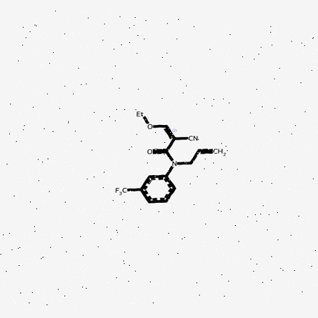 C=CCN(C(=O)/C(C#N)=C\OCC)c1cccc(C(F)(F)F)c1